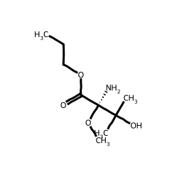 CCCOC(=O)[C@](N)(OC)C(C)(C)O